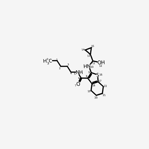 CCCCCNC(=O)c1c(NC(O)C2CC2)sc2c1CCCC2